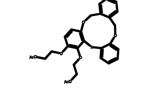 CC(=O)OCCOc1ccc2c(c1OCCOC(C)=O)Sc1ccccc1OCc1ccccc1CO2